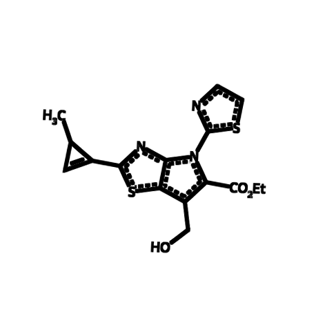 CCOC(=O)c1c(CO)c2sc(C3=CC3C)nc2n1-c1nccs1